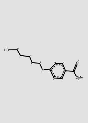 COC(=O)c1ccc(SCCCCCO)cc1